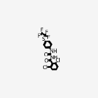 O=C(NC(=O)c1c(Cl)cccc1Cl)Nc1ccc(SC(F)(F)C(F)F)cc1